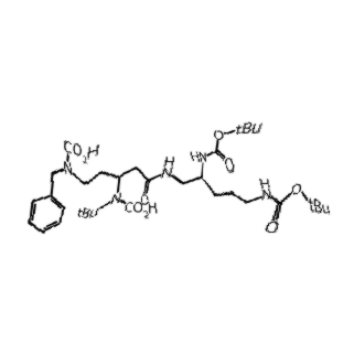 CC(C)(C)OC(=O)NCCC[C@@H](CNC(=O)CC(CCN(Cc1ccccc1)C(=O)O)N(C(=O)O)C(C)(C)C)NC(=O)OC(C)(C)C